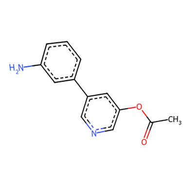 CC(=O)Oc1cncc(-c2cccc(N)c2)c1